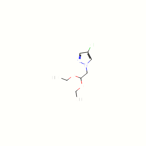 CCOC(Cn1cc(Cl)cn1)OCC